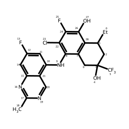 CCC1CC(O)(C(F)(F)F)Cc2c(Nc3cc(F)cc4nc(C)ncc34)c(Cl)c(F)c(O)c21